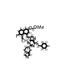 C#Cc1c(F)ccc2cc(OCOC)cc(Cn3cnc4c(SCc5ccccc5)nc(N5CCn6cncc6C5)nc43)c12